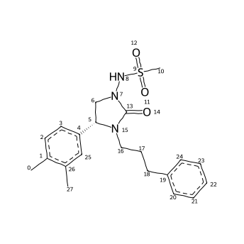 Cc1ccc([C@@H]2CN(NS(C)(=O)=O)C(=O)N2CCCc2ccccc2)cc1C